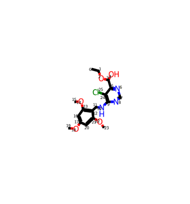 CCOC(O)c1ncnc(NCc2c(OC)cc(OC)cc2OC)c1Cl